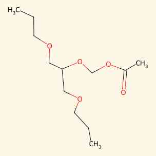 CCCOCC(COCCC)OCOC(C)=O